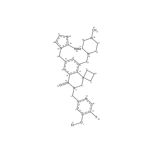 CCOc1cc(CN2CC3(CCC3)c3c(CN4CCN(C)CC4)cc(Cn4ccnc4NC)cc3C2=O)ncc1F